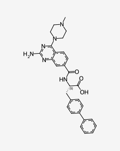 CN1CCN(c2nc(N)nc3cc(C(=O)N[C@@H](Cc4ccc(-c5ccccc5)cc4)C(=O)O)ccc23)CC1